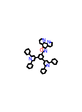 c1ccc(-c2cc(-c3cc(-c4cc(-c5ccccc5)nc(-c5ccccc5)c4)cc(-c4nc5c6cccnc6c6ncccc6c5o4)c3)cc(-c3ccccc3)n2)cc1